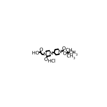 CC(C)(C)OC(=O)N1CCC(N2CCN(CC(=O)O)C(=O)C2)CC1.Cl